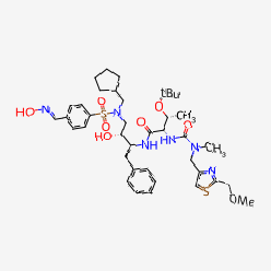 COCc1nc(CN(C)C(=O)N[C@H](C(=O)N[C@@H](Cc2ccccc2)[C@H](O)CN(CC2CCCC2)S(=O)(=O)c2ccc(/C=N/O)cc2)[C@@H](C)OC(C)(C)C)cs1